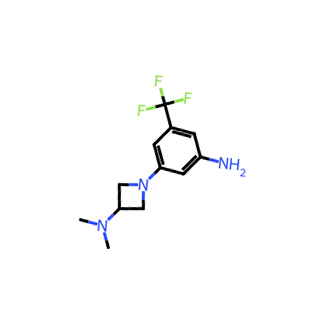 CN(C)C1CN(c2cc(N)cc(C(F)(F)F)c2)C1